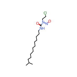 CC(C)CCCCCCCCCCCNC(=O)N(CCCl)N=O